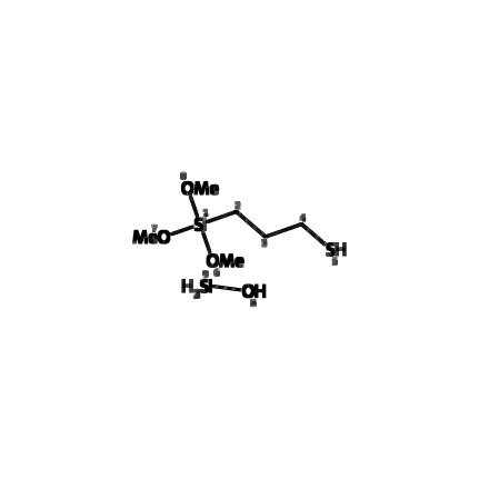 CO[Si](CCCS)(OC)OC.O[SiH3]